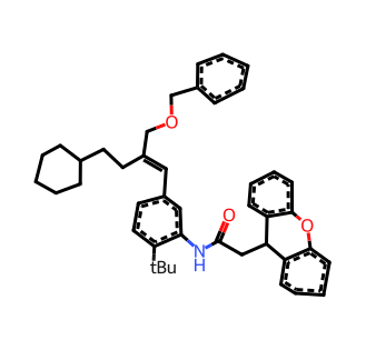 CC(C)(C)c1ccc(/C=C(\CCC2CCCCC2)COCc2ccccc2)cc1NC(=O)CC1c2ccccc2Oc2ccccc21